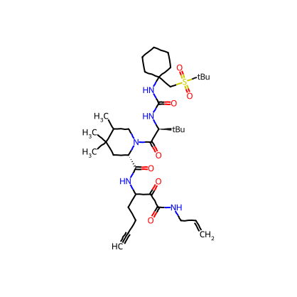 C#CCCC(NC(=O)[C@@H]1CC(C)(C)C(C)CN1C(=O)[C@@H](NC(=O)NC1(CS(=O)(=O)C(C)(C)C)CCCCC1)C(C)(C)C)C(=O)C(=O)NCC=C